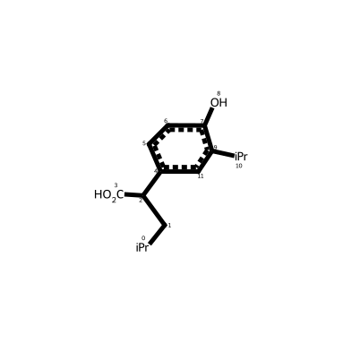 CC(C)CC(C(=O)O)c1ccc(O)c(C(C)C)c1